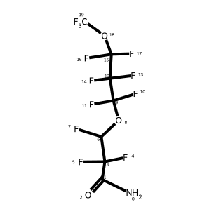 NC(=O)C(F)(F)C(F)OC(F)(F)C(F)(F)C(F)(F)OC(F)(F)F